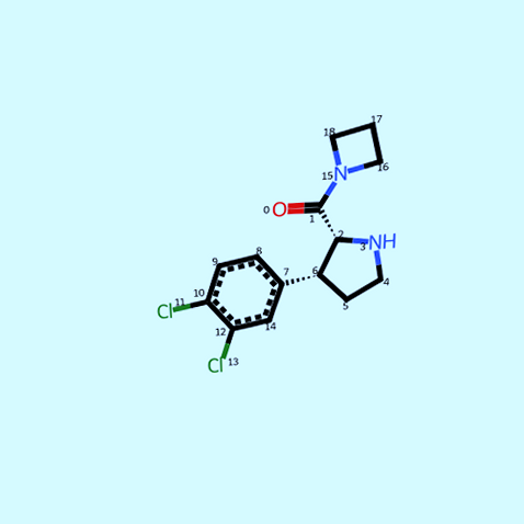 O=C([C@@H]1NCC[C@@H]1c1ccc(Cl)c(Cl)c1)N1CCC1